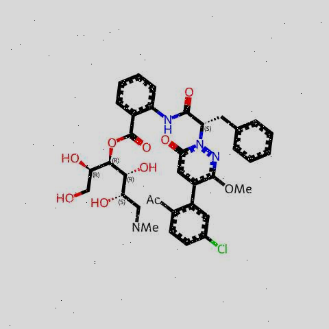 CNC[C@H](O)[C@@H](O)[C@H](OC(=O)c1ccccc1NC(=O)[C@H](Cc1ccccc1)n1nc(OC)c(-c2cc(Cl)ccc2C(C)=O)cc1=O)[C@H](O)CO